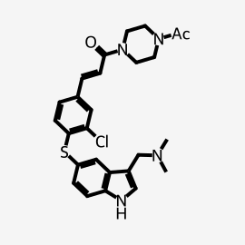 CC(=O)N1CCN(C(=O)C=Cc2ccc(Sc3ccc4[nH]cc(CN(C)C)c4c3)c(Cl)c2)CC1